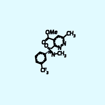 CN=[S@](=O)(c1cccc(C(F)(F)F)c1)c1nnc(C)cc1C(=O)OC